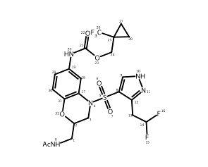 CC(=O)NCC1CN(S(=O)(=O)c2c[nH]nc2CC(F)F)c2cc(NC(=O)OCC3(C(F)(F)F)CC3)ccc2O1